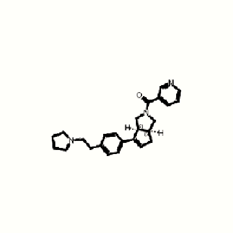 O=C(c1cccnc1)N1C[C@H]2CC=C(c3ccc(CCN4CCCC4)cc3)[C@H]2C1